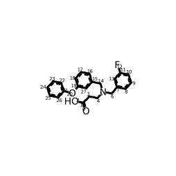 O=C(O)CCN(Cc1cccc(F)c1)Cc1cccc(Oc2ccccc2)c1